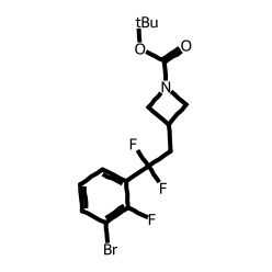 CC(C)(C)OC(=O)N1CC(CC(F)(F)c2cccc(Br)c2F)C1